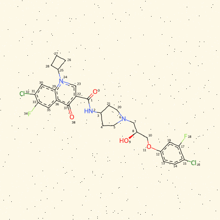 O=C(NC1CCN(C[C@H](O)COc2ccc(Cl)c(F)c2)CC1)c1cn(C2CCC2)c2cc(Cl)c(F)cc2c1=O